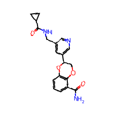 NC(=O)c1cccc2c1OCC(c1cncc(CNC(=O)C3CC3)c1)O2